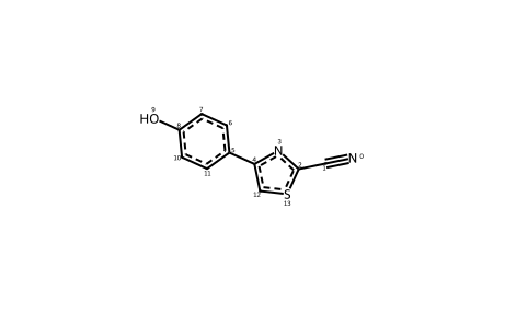 N#Cc1nc(-c2ccc(O)cc2)cs1